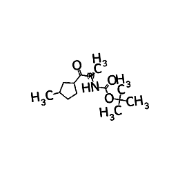 CC1CCC(C(=O)[C@@H](C)NC(=O)OC(C)(C)C)C1